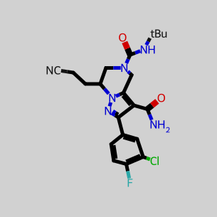 CC(C)(C)NC(=O)N1Cc2c(C(N)=O)c(-c3ccc(F)c(Cl)c3)nn2C(CCC#N)C1